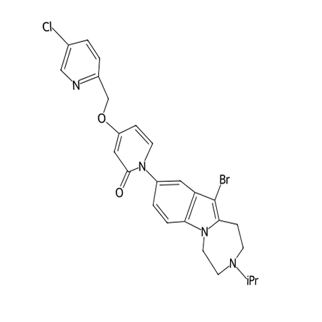 CC(C)N1CCc2c(Br)c3cc(-n4ccc(OCc5ccc(Cl)cn5)cc4=O)ccc3n2CC1